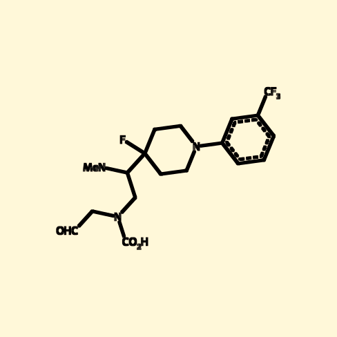 CNC(CN(CC=O)C(=O)O)C1(F)CCN(c2cccc(C(F)(F)F)c2)CC1